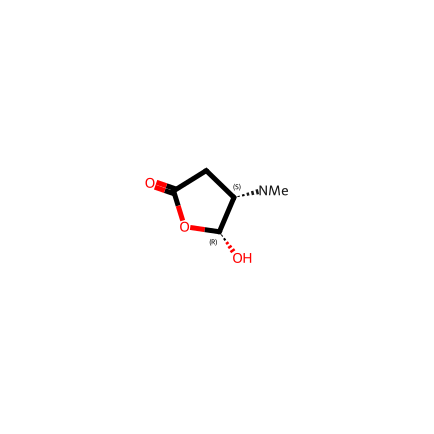 CN[C@H]1CC(=O)O[C@H]1O